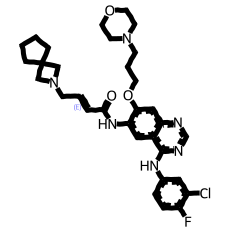 O=C(/C=C/CN1CC2(CCCC2)C1)Nc1cc2c(Nc3ccc(F)c(Cl)c3)ncnc2cc1OCCCN1CCOCC1